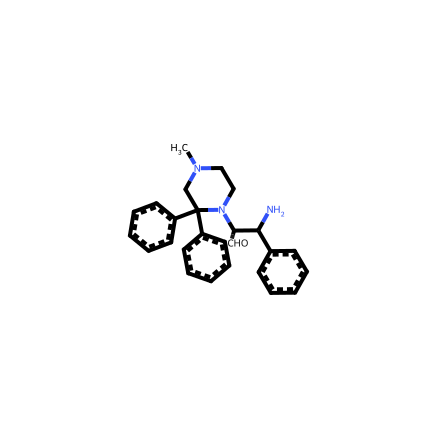 CN1CCN(C(C=O)C(N)c2ccccc2)C(c2ccccc2)(c2ccccc2)C1